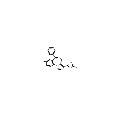 CCc1noc(-c2ncn3c2CN=C(c2ccccc2)c2cc(S)ccc2-3)n1